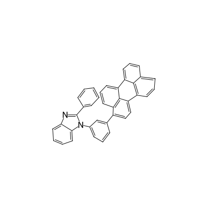 c1ccc(-c2nc3ccccc3n2-c2cccc(-c3ccc4c5cccc6cccc(c7cccc3c74)c65)c2)cc1